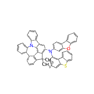 CC1(C)c2cccc3c2-c2c1c(N(c1ccc4c(c1)oc1ccccc14)c1cccc4sc5ccccc5c14)cc1c4ccccc4n(c21)-c1ccccc1-3